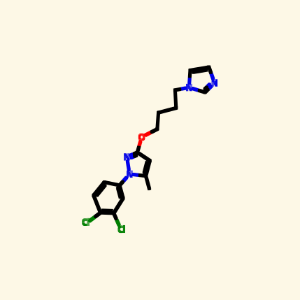 Cc1cc(OCCCCn2ccnc2)nn1-c1ccc(Cl)c(Cl)c1